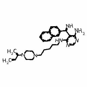 C=CC(=C)N1CCN(CCCCCNc2ncnc(N)c2C(=N)c2ccc3ccccc3c2)CC1